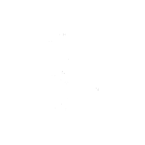 Cc1ncccc1-c1ccc2c(c1)N(S(=O)(=O)c1cccc(C(F)(F)F)c1)CC(CCC(=O)O)O2